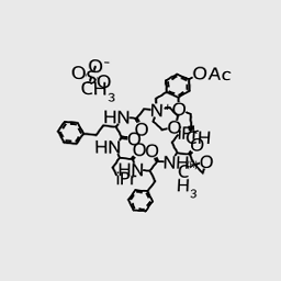 C#CCOc1cc(OC(C)=O)ccc1C[N+]1(CC(=O)NC(CCc2ccccc2)C(=O)NC(CC(C)C)C(=O)NC(Cc2ccccc2)C(=O)NC(CC(C)C)C(=O)[C@@]2(C)CO2)CCOCC1.CS(=O)(=O)[O-]